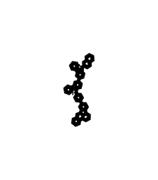 C1=CC2=CC=C(n3c4ccccc4c4cc(-c5ccc6c(c5)c5ccccc5n6-c5ccc(-c6ccc7c(c6)C6C=c8ccccc8=C8C=CC=C7C86)cc5)ccc43)CC2C=C1